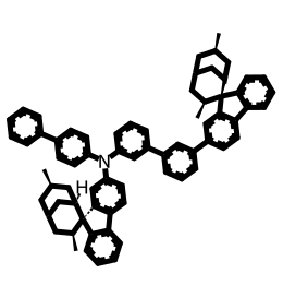 C[C@@H]1CC2CC(C1)[C@]1(c3ccccc3-c3ccc(-c4cccc(-c5cccc(N(c6ccc(-c7ccccc7)cc6)c6ccc7c(c6)[C@@]6(c8ccccc8-7)[C@H]7CC(C[C@@H](C)C7)C[C@@H]6C)c5)c4)cc31)[C@@H](C)C2